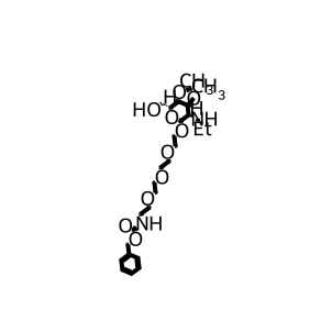 CCN[C@H]1C(OCCOCCOCCOCCNC(=O)OCc2ccccc2)O[C@H](CO)[C@@H]2OC(C)(C)O[C@@H]21